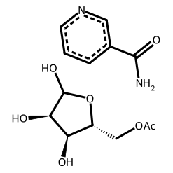 CC(=O)OC[C@H]1OC(O)[C@H](O)[C@@H]1O.NC(=O)c1cccnc1